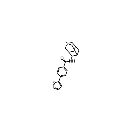 O=C(NC1C2CC3CC1CN(C3)C2)c1ccc(-c2cccs2)cc1